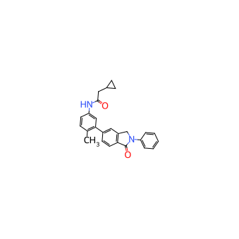 Cc1ccc(NC(=O)CC2CC2)cc1-c1ccc2c(c1)CN(c1ccccc1)C2=O